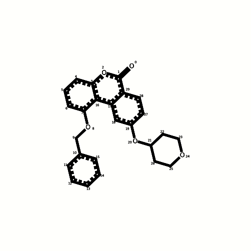 O=c1oc2cccc(OCc3ccccc3)c2c2cc(OC3CCOCC3)ccc12